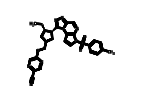 CC[C@H]1CC(COc2cnc(C#N)cn2)C[C@H]1c1nnc2cnc3c(ccn3S(=O)(=O)c3ccc(C)cc3)n12